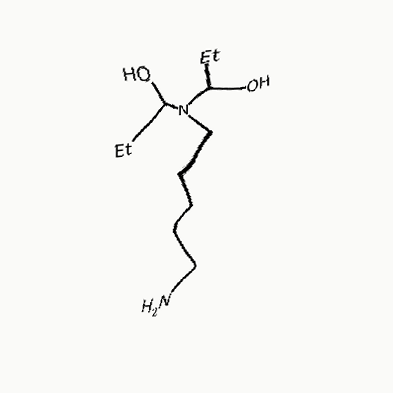 CCC(O)N(CCCCCN)C(O)CC